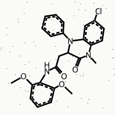 COc1cccc(OC)c1NC(=O)CC1C(=O)N(C)c2ccc(Cl)cc2N1c1ccccc1